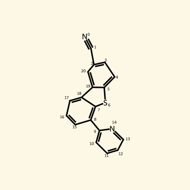 N#Cc1ccc2sc3c(-c4ccccn4)cccc3c2c1